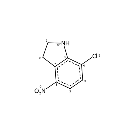 O=[N+]([O-])c1ccc(Cl)c2c1CCN2